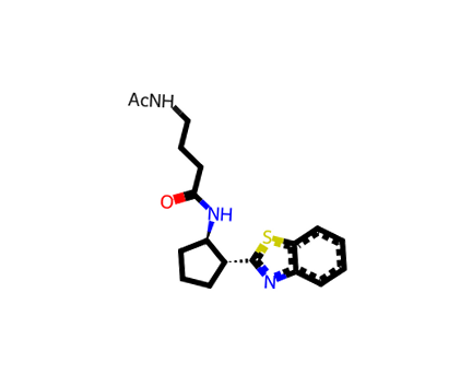 CC(=O)NCCCC(=O)N[C@@H]1CCC[C@H]1c1nc2ccccc2s1